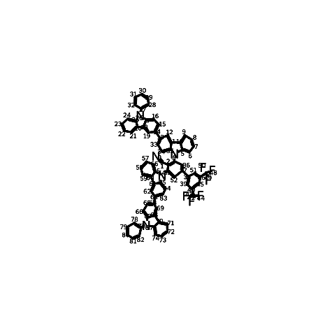 N#Cc1c(-n2c3ccccc3c3cc(-c4ccc5c(c4)c4ccccc4n5-c4ccccc4)ccc32)cc(-c2cc(C(F)(F)F)cc(C(F)(F)F)c2)cc1-n1c2ccccc2c2cc(-c3ccc4c(c3)c3ccccc3n4-c3ccccc3)ccc21